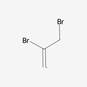 [CH]=C(Br)CBr